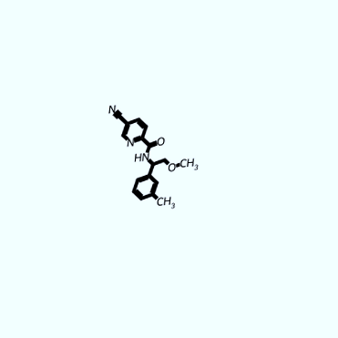 COCC(NC(=O)c1ccc(C#N)cn1)c1cccc(C)c1